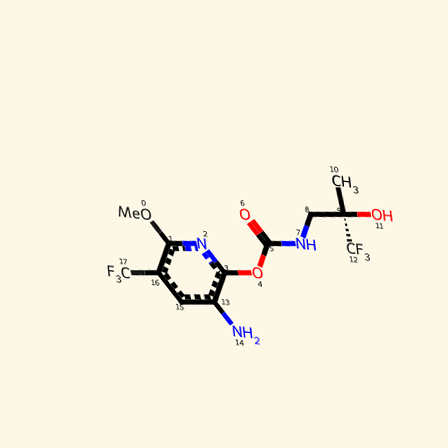 COc1nc(OC(=O)NC[C@@](C)(O)C(F)(F)F)c(N)cc1C(F)(F)F